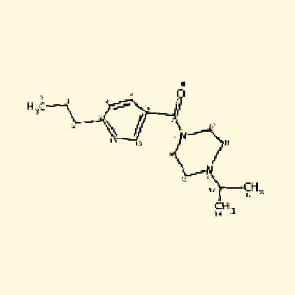 CCCc1ccc(C(=O)N2CCN(C(C)C)CC2)cc1